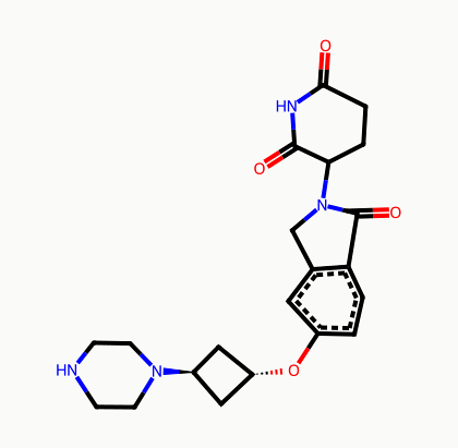 O=C1CCC(N2Cc3cc(O[C@H]4C[C@H](N5CCNCC5)C4)ccc3C2=O)C(=O)N1